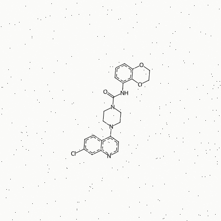 O=C(Nc1cccc2c1OCCO2)N1CCN(c2ccnc3cc(Cl)ccc23)CC1